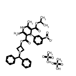 CC1=C(C(=O)OC(C)C)[C@@H](c2cccc([N+](=O)[O-])c2)C(C(=O)OC2CN(C(c3ccccc3)c3ccccc3)C2)=C(N)N1.CS(=O)(=O)O.CS(=O)(=O)O